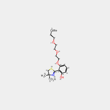 COCCOCCOCCOc1cccc(O)c1C1=N[C@@](C)(C(=O)O)CS1